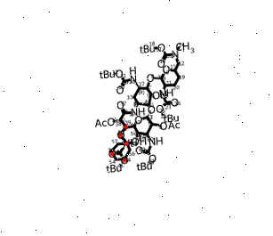 CC(=O)OC1[C@@H](O[C@@H]2C(O)C(O[C@H]3OC(CN(C)C(=O)OC(C)(C)C)CCC3NC(=O)OC(C)(C)C)[C@H](NC(=O)OC(C)(C)C)C[C@H]2NC(=O)[C@H](CCNC(=O)OC(C)(C)C)OC(C)=O)OC2COC3(CCCCC3)O[C@H]2[C@@H]1NC(=O)OC(C)(C)C